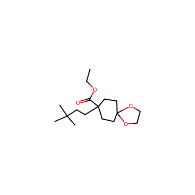 CCOC(=O)C1(CCC(C)(C)C)CCC2(CC1)OCCO2